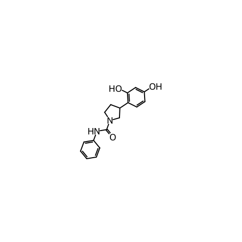 O=C(Nc1ccccc1)N1CCC(c2ccc(O)cc2O)C1